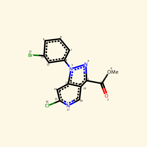 COC(=O)c1nn(-c2cccc(Br)c2)c2cc(Cl)ncc12